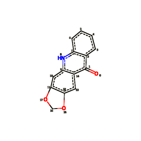 O=c1c2ccccc2[nH]c2cc3c(cc12)OCO3